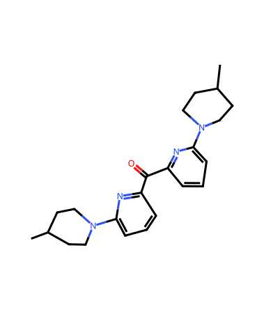 CC1CCN(c2cccc(C(=O)c3cccc(N4CCC(C)CC4)n3)n2)CC1